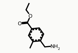 CCOC(=O)c1ccc(CN)c(C)c1